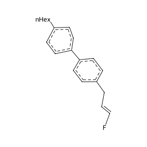 CCCCCCc1ccc(-c2ccc(CC=CF)cc2)cc1